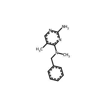 Cc1cnc(N)nc1N(C)Cc1ccccc1